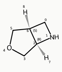 C1N[C@H]2COC[C@@H]12